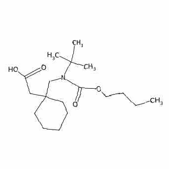 CCCCOC(=O)N(CC1(CC(=O)O)CCCCC1)C(C)(C)C